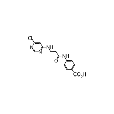 O=C(CCNc1cc(Cl)ncn1)Nc1ccc(C(=O)O)cc1